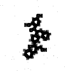 O=C(c1ccc(O)cc1O)N(Cc1cccnc1)c1ccc(-c2nc3ccccc3cc2CO)cc1